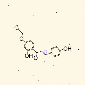 O=C(/C=C/c1ccc(O)cc1)c1ccc(OCC2CC2)cc1O